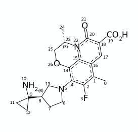 Cc1c(F)c(N2CC[C@@H](C3(N)CC3)C2)c2c3c1cc(C(=O)O)c(=O)n3[C@@H](C)CO2